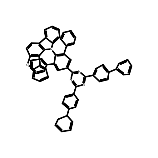 C1=CCC(c2ccc(-c3nc(-c4ccc(-c5ccccc5)cc4)nc(-c4cc(-c5ccccc5)c(-n5c6ccccc6c6ccc7oc8ccccc8c7c65)c(-c5ccccc5)c4)n3)cc2)C=C1